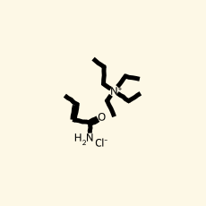 CC=CC(N)=O.CCC[N+](CC)(CC)CC.[Cl-]